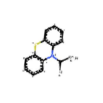 CCC(N1c2ccccc2Sc2ccccc21)S(=O)(=O)O